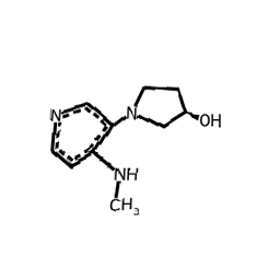 CNc1ccncc1N1CC[C@@H](O)C1